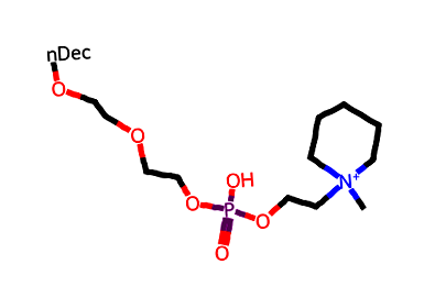 CCCCCCCCCCOCCOCCOP(=O)(O)OCC[N+]1(C)CCCCC1